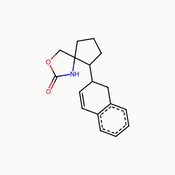 O=C1NC2(CCCC2C2C=Cc3ccccc3C2)CO1